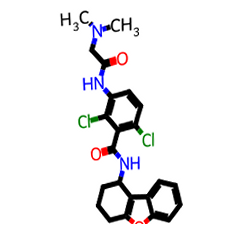 CN(C)CC(=O)Nc1ccc(Cl)c(C(=O)NC2CCCc3oc4ccccc4c32)c1Cl